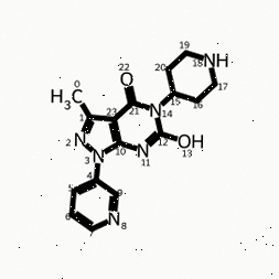 Cc1nn(-c2cccnc2)c2nc(O)n(C3CCNCC3)c(=O)c12